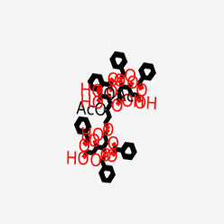 CC(=O)OC(CCOC(O)C(OC(=O)c1ccccc1)C(OC(=O)c1ccccc1)C(CCO)OC(=O)c1ccccc1)C(OC(O)C(OC(=O)c1ccccc1)C(OC(=O)c1ccccc1)C(CCO)OC(=O)c1ccccc1)C(OC(C)=O)C(O)O